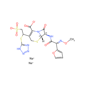 CON=C(C(=O)N[C@@H]1C(=O)N2C(C(=O)[O-])=C(C(CS(=O)(=O)[O-])Sc3nnn[nH]3)CS[C@@H]12)c1ccco1.[Na+].[Na+]